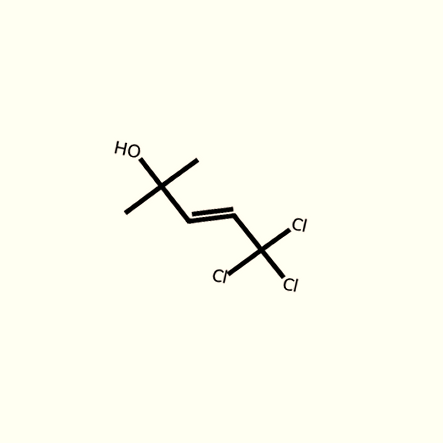 CC(C)(O)C=CC(Cl)(Cl)Cl